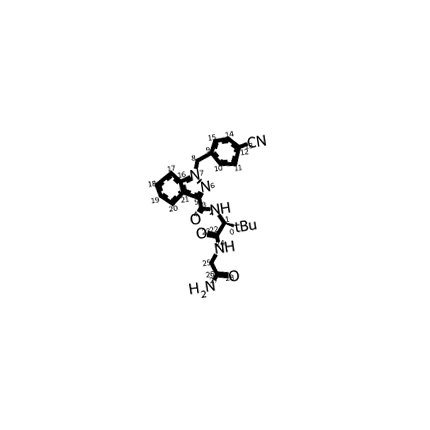 CC(C)(C)[C@H](NC(=O)c1nn(Cc2ccc(C#N)cc2)c2ccccc12)C(=O)NCC(N)=O